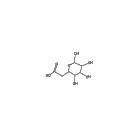 O=C(O)CC1OC(O)C(O)C(O)C1O